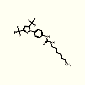 CCCCCCCNC(=O)Nc1ccc(-n2nc(C(F)(F)F)cc2C(F)(F)F)cc1